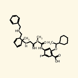 CC(Oc1cc(NC(=O)N(C)C(=N)CPC2(C)C=CC=CC2CNCc2ccccc2)c(F)cc1C(=O)O)C1CCCCC1